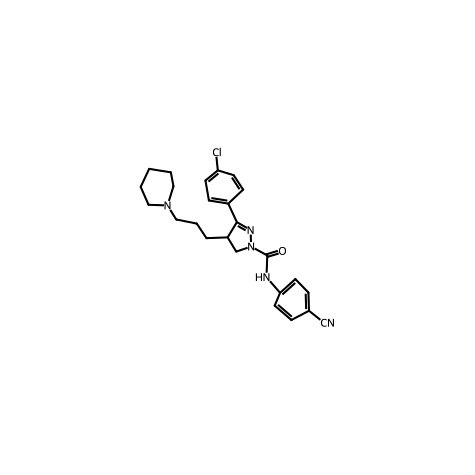 N#Cc1ccc(NC(=O)N2CC(CCCN3CCCCC3)C(c3ccc(Cl)cc3)=N2)cc1